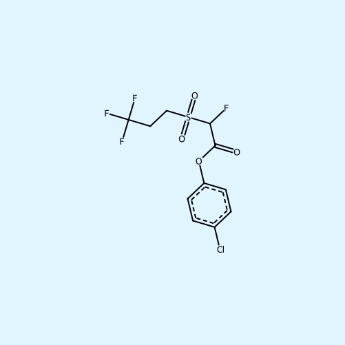 O=C(Oc1ccc(Cl)cc1)C(F)S(=O)(=O)CCC(F)(F)F